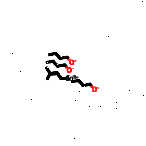 CC(C)=C[CH2][Sn+3].CCCC[O-].CCCC[O-].CCCC[O-]